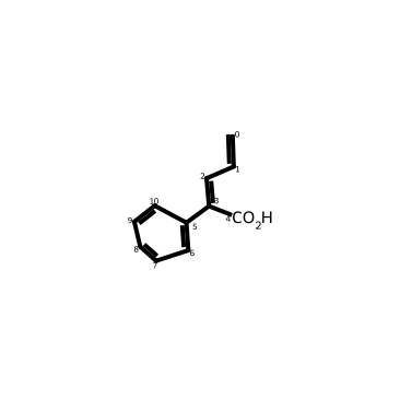 C=CC=C(C(=O)O)c1ccccc1